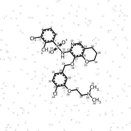 Cc1c(Cl)cccc1S(=O)(=O)Nc1ncc2c(c1OCc1ccc(Cl)c(OCCN(C)C)c1)OCCC2